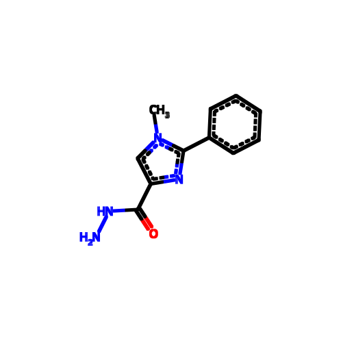 Cn1cc(C(=O)NN)nc1-c1ccccc1